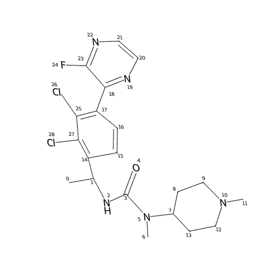 CC(NC(=O)N(C)C1CCN(C)CC1)c1ccc(-c2nccnc2F)c(Cl)c1Cl